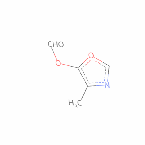 Cc1ncoc1OC=O